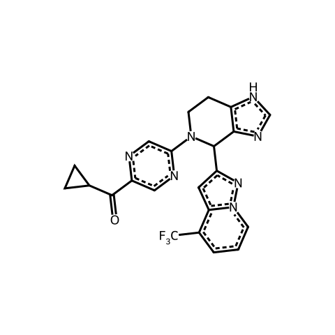 O=C(c1cnc(N2CCc3[nH]cnc3C2c2cc3c(C(F)(F)F)cccn3n2)cn1)C1CC1